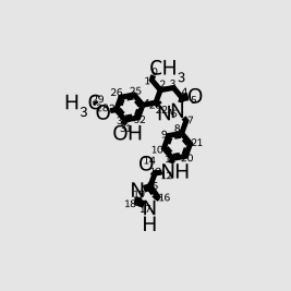 CCC1CC(=O)N(Cc2ccc(NC(=O)c3c[nH]cn3)cc2)N=C1c1ccc(OC)c(O)c1